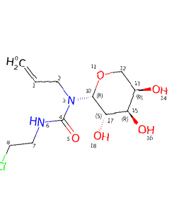 C=CCN(C(=O)NCCCl)[C@@H]1OC[C@@H](O)[C@@H](O)[C@@H]1O